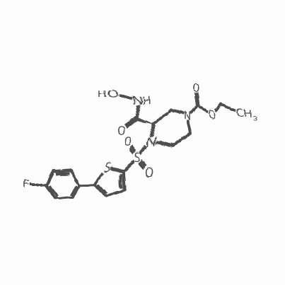 CCOC(=O)N1CCN(S(=O)(=O)c2ccc(-c3ccc(F)cc3)s2)[C@@H](C(=O)NO)C1